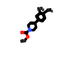 Cc1ccc(C2=CCN(C(=O)OC(C)(C)C)CC2)cc1[N+](=O)[O-]